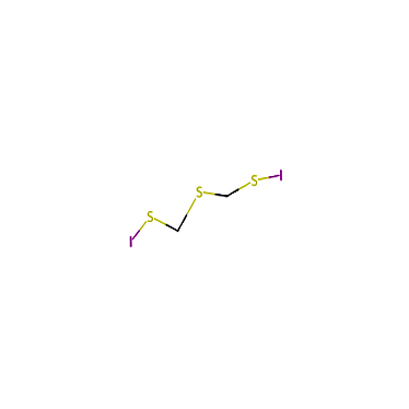 ISCSCSI